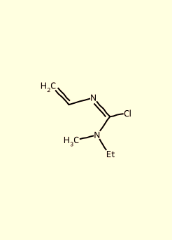 C=C/N=C(/Cl)N(C)CC